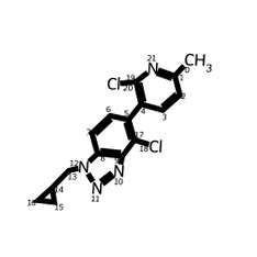 Cc1ccc(-c2ccc3c(nnn3CC3CC3)c2Cl)c(Cl)n1